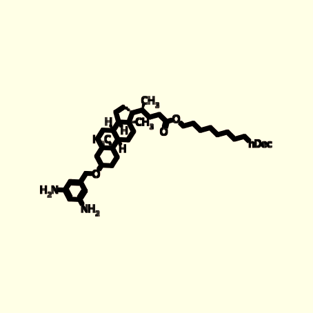 CCCCCCCCCCCCCCCCCCOC(=O)CC[C@@H](C)[C@H]1CC[C@H]2[C@@H]3CCC4CC(OCc5cc(N)cc(N)c5)CC[C@]4(C)[C@H]3CC[C@]12C